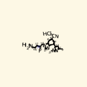 Cc1cc(-c2cc(C#N)cc3c2ncn3C/C(F)=C/CN)n(C)n1.Cl